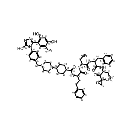 CC(C)CC(NC(=O)C(CCc1ccccc1)NC(=O)C1CCC(N2CCN(Cc3ccc(-n4c(O)nnc4-c4cc(C(C)C)c(O)cc4O)cc3)CC2)CC1)C(=O)NC(Cc1ccccc1)C(=O)NC(CC(C)C)C(=O)C1(C)CO1